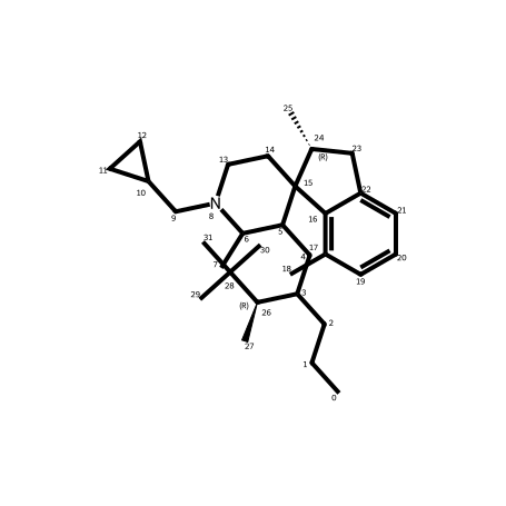 CCCC(CC1C(C)N(CC2CC2)CCC12c1c(C)cccc1C[C@H]2C)[C@@H](C)C(C)(C)C